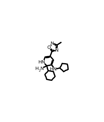 Cc1noc(C2=CNC(N)(C3CCCCC3)C(NC3CCCC3)=C2)n1